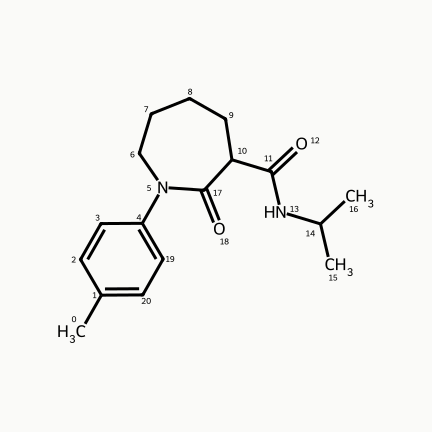 Cc1ccc(N2CCCCC(C(=O)NC(C)C)C2=O)cc1